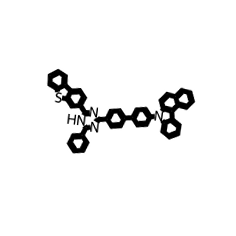 c1ccc(C2N=C(c3ccc(-c4ccc(-n5c6ccccc6c6c7ccccc7ccc65)cc4)cc3)N=C(c3ccc4c(c3)sc3ccccc34)N2)cc1